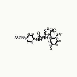 CNc1ccc(NC(=O)NC2SCC(=O)N2c2cc(C)ccc2C(C)C)cc1